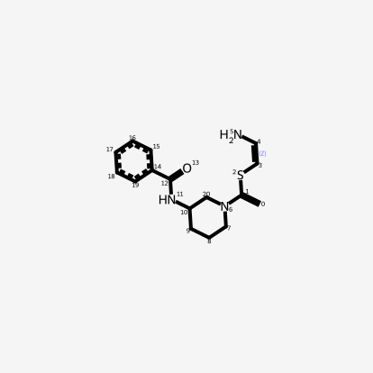 C=C(S/C=C\N)N1CCCC(NC(=O)c2ccccc2)C1